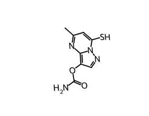 Cc1cc(S)n2ncc(OC(N)=O)c2n1